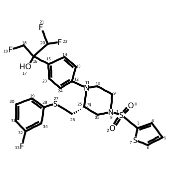 O=S(=O)(c1cccs1)N1CCN(c2ccc(C(O)(CF)C(F)F)cc2)[C@@H](CSc2cccc(F)c2)C1